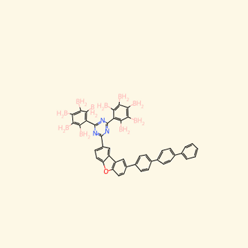 Bc1c(B)c(B)c(-c2nc(-c3ccc4oc5ccc(-c6ccc(-c7ccc(-c8ccccc8)cc7)cc6)cc5c4c3)nc(-c3c(B)c(B)c(B)c(B)c3B)n2)c(B)c1B